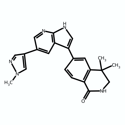 Cn1cc(-c2cnc3[nH]cc(-c4ccc5c(c4)C(C)(C)CNC5=O)c3c2)cn1